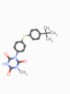 Cn1c(=O)[nH]c(=O)n(-c2ccc(Sc3ccc(C(C)(C)C)cc3)cc2)c1=O